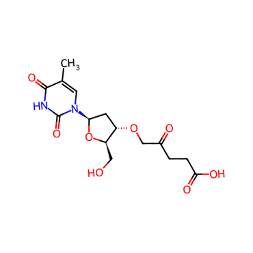 Cc1cn([C@H]2C[C@H](OCC(=O)CCC(=O)O)[C@@H](CO)O2)c(=O)[nH]c1=O